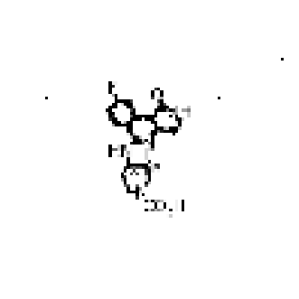 O=C(O)N1CC[C@@H](Nc2nc3cc[nH]c(=O)c3c3cc(F)ccc23)[C@H](F)C1